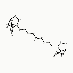 CC1(C)C2CCC1(CCCCOCCCCC13CCC(CC1=O)C3(C)C)C(=O)C2